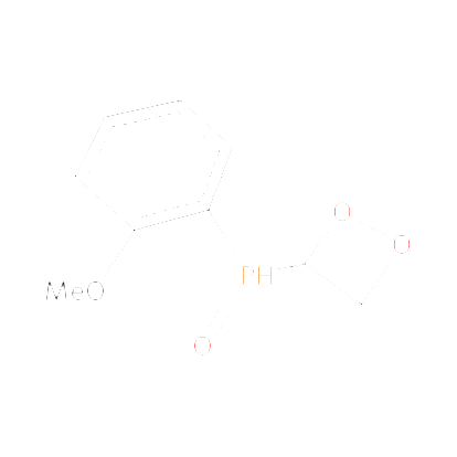 COc1ccccc1[PH](=O)C1COO1